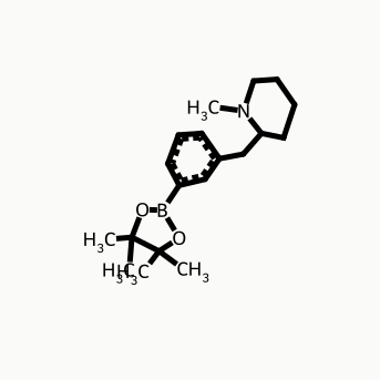 CN1CCCCC1Cc1cccc(B2OC(C)(C)C(C)(C)O2)c1